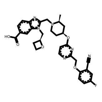 C[C@H]1C[C@@H](Oc2ccnc(COc3ccc(F)cc3C#N)n2)CCN1Cc1nc2ccc(C(=O)O)cc2n1C[C@@H]1CCO1